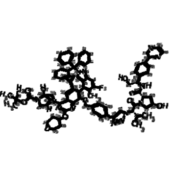 Cc1c(F)cc2nn(C(c3ccccc3)(c3ccccc3)c3ccccc3)cc2c1-c1c(C2CC2)cc2c(N3C[C@@H]4C[C@H]3CN4C(=O)OC(C)(C)C)nc(OC3CCOCC3)nc2c1OCc1ccc(-c2cn([C@H](C(=O)N3C[C@H](O)C[C@H]3C(=O)N[C@@H](CO)c3ccc(-c4cnccn4)cc3)C(C)C)nn2)cc1